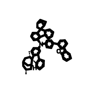 C[C@@H]1CC2C[C@@H](C1)[C@@]1(c3ccccc3-c3cc(N(c4ccc(-c5cccc6c5oc5ccccc56)cc4)c4cccc5c4-c4ccccc4C54CC5CCC4C5)ccc31)[C@@H](C)C2